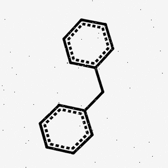 [c]1ccccc1Cc1[c]cccc1